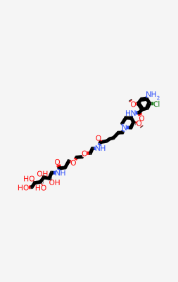 COc1cc(N)c(Cl)cc1C(=O)N[C@@H]1CCN(CCCCCC(=O)NCCOCCOCCC(=O)NC[C@H](O)[C@@H](O)[C@H](O)[C@H](O)CO)C[C@@H]1OC